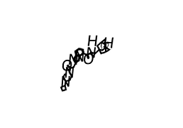 O=C(NCC12CC3C[C@@H]3C3(CC3C1)C2)c1cccc2nc(CC(=O)N3CCN(C4CCC4)CC3)cn12